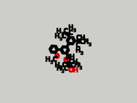 COc1ccccc1-c1cc(BOC(C)(C)C(C)(C)O)cc(-c2cc(C(C)(C)C)cc(C(C)(C)C)c2)c1